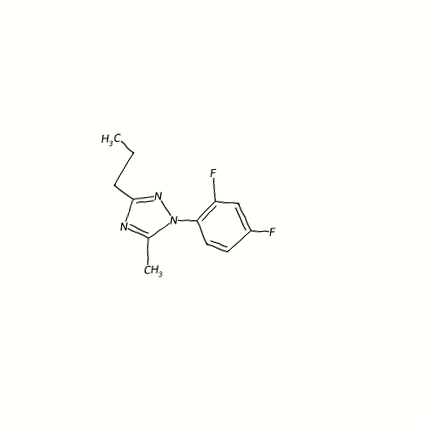 CCCc1nc(C)n(-c2ccc(F)cc2F)n1